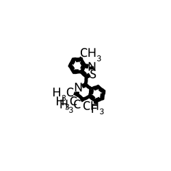 Cc1cccc2c(C3=NC(C)(C)C(C)(C)c4c(F)cccc43)snc12